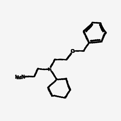 CNCCN(CCOCc1ccccc1)C1CCCCC1